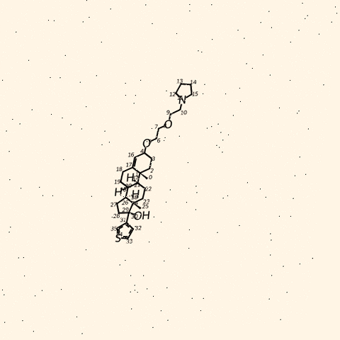 C[C@]12CCC(OCCOCCN3CCCC3)C=C1CC[C@@H]1[C@H]2CC[C@@]2(C)[C@H]1CCC2(O)c1ccsc1